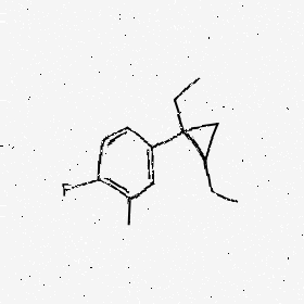 CCC1CC1(CC)c1ccc(F)c(C)c1